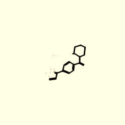 C=C(c1ccc(-c2cc[nH]n2)cc1)C1CCCCC1C(=O)O